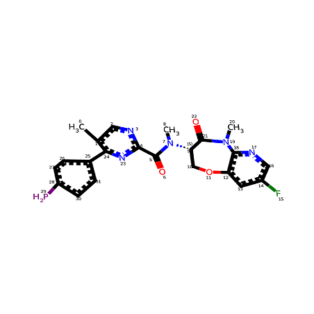 Cc1cnc(C(=O)N(C)[C@H]2COc3cc(F)cnc3N(C)C2=O)nc1-c1ccc(P)cc1